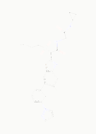 COCCS(=O)(=O)C(C(=O)NCC(=O)NC1CC1)c1nc2cc(F)c(-c3cccc(-n4cccn4)c3)cc2s1